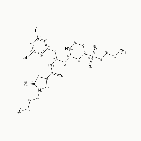 CCCCN1CC(C(=O)NC(Cc2cc(F)cc(F)c2)C[C@H]2CN(S(=O)(=O)CCCC)CCN2)CC1=O